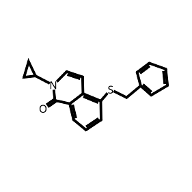 O=c1c2cccc(SCc3ccccc3)c2ccn1C1CC1